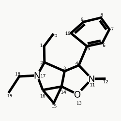 CCC1C2C(c3ccccc3)N(C)OC23CC3N1CC